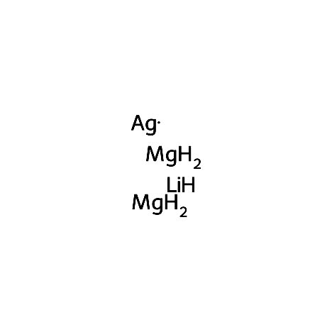 [Ag].[LiH].[MgH2].[MgH2]